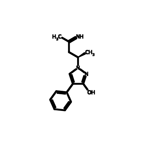 CC(=N)C[C@@H](C)n1cc(-c2ccccc2)c(O)n1